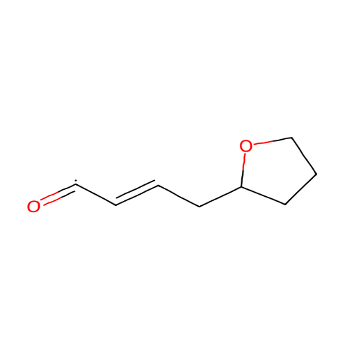 O=[C]C=CCC1CCCO1